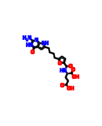 Nc1nc2[nH]c(CCCCc3ccc(C(=O)NC(CCC(=O)O)C(=O)O)o3)cc2c(=O)[nH]1